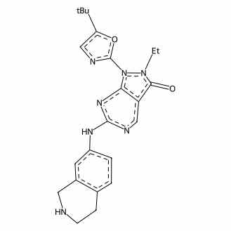 CCn1c(=O)c2cnc(Nc3ccc4c(c3)CNCC4)nc2n1-c1ncc(C(C)(C)C)o1